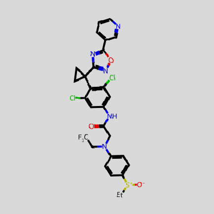 CC[S+]([O-])c1ccc(N(CC(=O)Nc2cc(Cl)c(C3(c4noc(-c5cccnc5)n4)CC3)c(Cl)c2)CC(F)(F)F)cc1